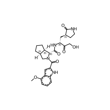 COc1cccc2[nH]c(C(=O)N3C[C@H]4CCC[C@H]4[C@@H]3C(=O)N[C@H](C[C@@H]3CCNC3=O)C(=O)CO)cc12